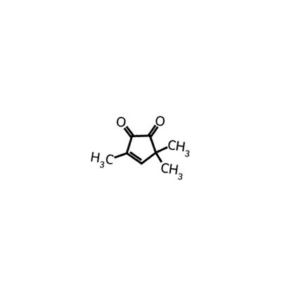 CC1=CC(C)(C)C(=O)C1=O